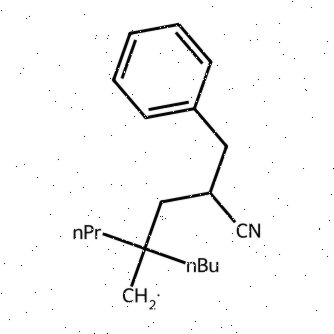 [CH2]C(CCC)(CCCC)CC(C#N)Cc1ccccc1